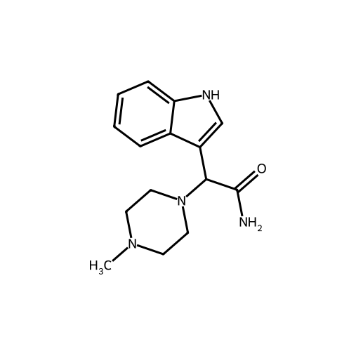 CN1CCN(C(C(N)=O)c2c[nH]c3ccccc23)CC1